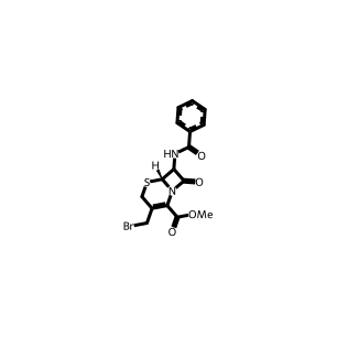 COC(=O)C1=C(CBr)CS[C@@H]2C(NC(=O)c3ccccc3)C(=O)N12